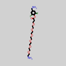 NCCOCCOCCOCCOCCOCCOCCC(=O)Oc1c(F)cc(CN)cc1F